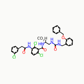 O=C(Cc1cccc(Cl)c1)Nc1ccc(Cl)c(C(=O)NC(CNC(=O)NCc2ccccc2OCc2ccccc2)C(=O)O)c1Cl